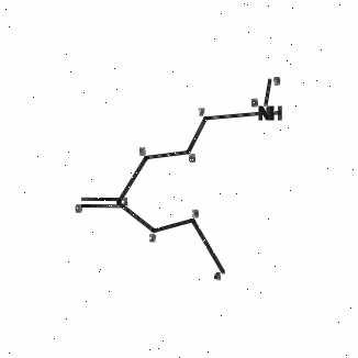 C=C(CCC)CCCNC